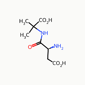 CC(C)(NC(=O)[C@@H](N)CC(=O)O)C(=O)O